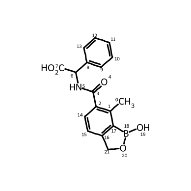 Cc1c(C(=O)NC(C(=O)O)c2ccccc2)ccc2c1B(O)OC2